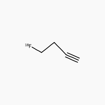 C#CCC[18F]